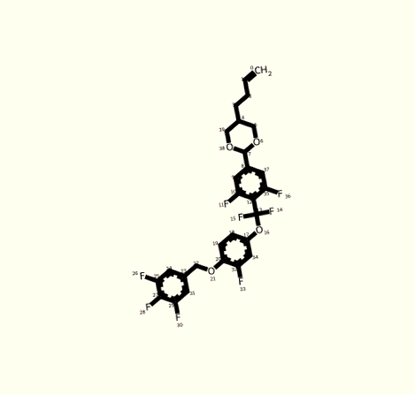 C=CCCC1COC(c2cc(F)c(C(F)(F)Oc3ccc(OCc4cc(F)c(F)c(F)c4)c(F)c3)c(F)c2)OC1